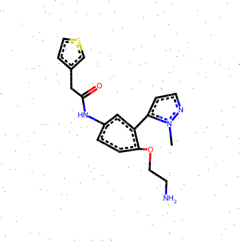 Cn1nccc1-c1cc(NC(=O)Cc2ccsc2)ccc1OCCN